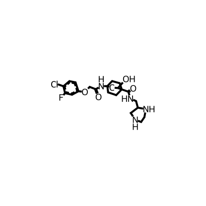 O=C(COc1ccc(Cl)c(F)c1)NC12CCC(C(=O)NCC3CNCCN3)(CC1)C(O)C2